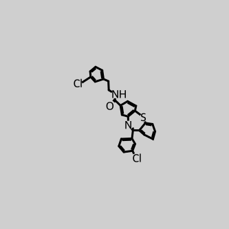 O=C(NCCc1cccc(Cl)c1)c1ccc2c(c1)N=C(c1cccc(Cl)c1)c1ccccc1S2